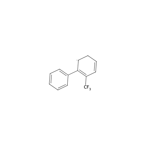 FC(F)(F)C1=C(c2ccccc2)[CH]CC=C1